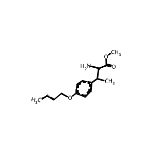 CCCCOc1ccc(C(C)C(N)C(=O)OC)cc1